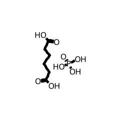 O=C(O)CCCCC(=O)O.O=P(O)(O)O